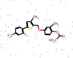 CCC(Oc1ccc(OCc2sc(-c3ccc(C(F)(F)F)cc3F)cc2C)cc1C)C(=O)O